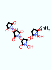 O=C1CCC(=O)N1O.O=C1CCC(=O)N1O.O=C1CCC(=O)N1O.O=C1CCC(=O)N1O.[SnH2]